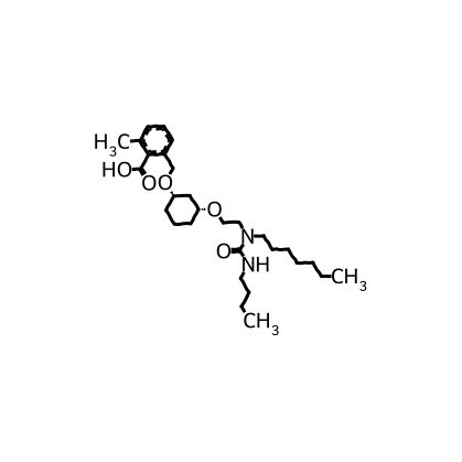 CCCCCCCN(CCO[C@@H]1CCC[C@H](OCc2cccc(C)c2C(=O)O)C1)C(=O)NCCCC